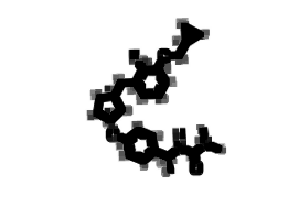 C[C@H](NC(=O)N(C)C)c1ccc(O[C@@H]2CCC(Cc3cccc(OCC4CC4)c3F)C2)cc1